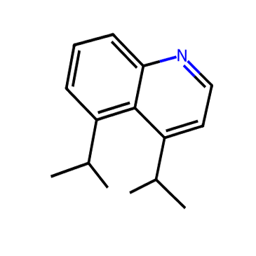 CC(C)c1cccc2nccc(C(C)C)c12